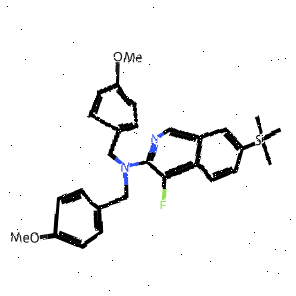 COc1ccc(CN(Cc2ccc(OC)cc2)c2ncc3cc([Si](C)(C)C)ccc3c2F)cc1